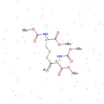 C=C(SSC[C@H](NC(=O)OC(C)(C)C)C(=O)OCCCC)[C@H](NC(=O)OC(C)(C)C)C(=O)OCCCC